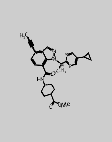 CC#Cc1ccc(C(=O)NC2CCC(C(=O)OC)CC2)c2c1cnn2[C@H](C)c1ncc(C2CC2)cn1